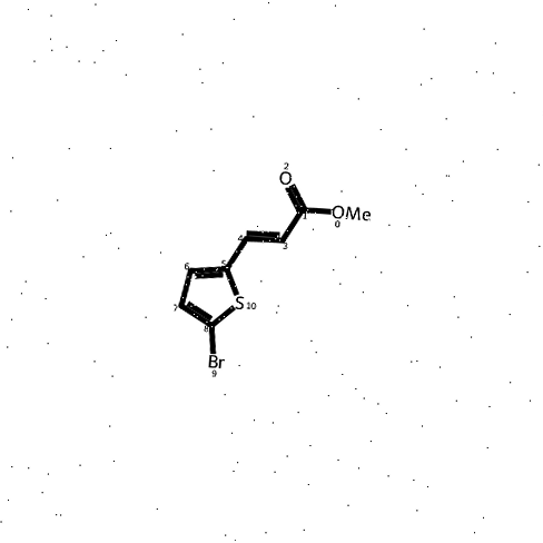 COC(=O)/C=C/c1ccc(Br)s1